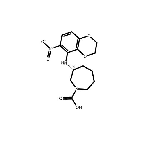 O=C(O)N1CCCC[C@@H](Nc2c([N+](=O)[O-])ccc3c2OCCO3)C1